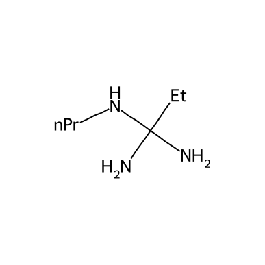 CCCNC(N)(N)CC